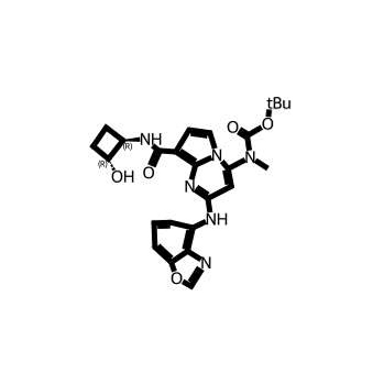 CN(C(=O)OC(C)(C)C)c1cc(Nc2cccc3ocnc23)nc2c(C(=O)N[C@@H]3CC[C@H]3O)ccn12